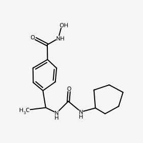 CC(NC(=O)NC1CCCCC1)c1ccc(C(=O)NO)cc1